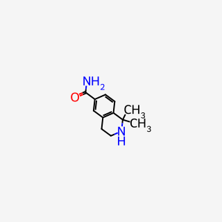 CC1(C)NCCc2cc(C(N)=O)ccc21